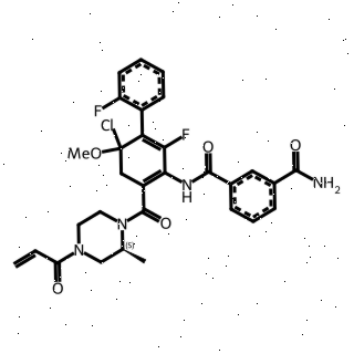 C=CC(=O)N1CCN(C(=O)C2=C(NC(=O)c3cccc(C(N)=O)c3)C(F)=C(c3ccccc3F)C(Cl)(OC)C2)[C@@H](C)C1